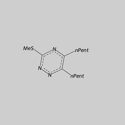 CCCCCc1nnc(SC)nc1CCCCC